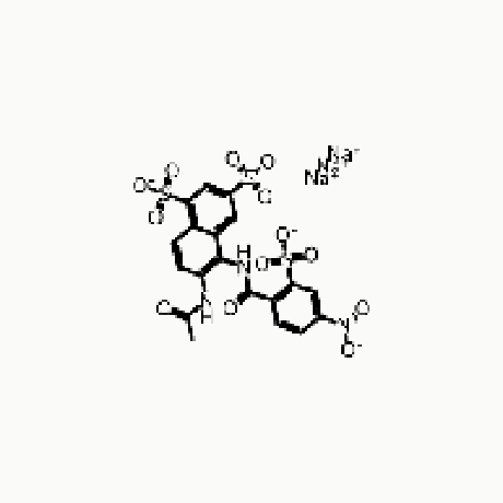 CC(=O)Nc1ccc2c(S(=O)(=O)[O-])cc(S(=O)(=O)[O-])cc2c1NC(=O)c1ccc([N+](=O)[O-])cc1S(=O)(=O)[O-].[Na+].[Na+].[Na+]